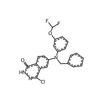 O=c1[nH]nc(Cl)c2cc(N(Cc3ccccc3)c3cccc(OC(F)F)c3)ccc12